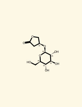 O=C1C[C@H](O[C@@H]2O[C@H](CO)[C@@H](O)[C@H](O)[C@H]2O)CO1